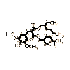 CCCCC(CC)COC(=O)C(Cc1cc(OC)c(O)c(OC)c1)C(=O)OCC(CC)CCCC